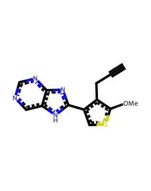 C#CCc1c(-c2nc3ncncc3[nH]2)csc1OC